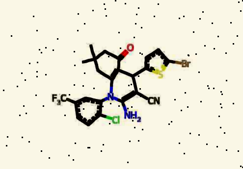 CC1(C)CC(=O)C2=C(C1)N(c1cc(C(F)(F)F)ccc1Cl)C(N)=C(C#N)C2c1ccc(Br)s1